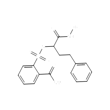 CNC(=O)c1ccccc1S(=O)(=O)NC(CCc1ccccc1)C(=O)NC(C)(C)C